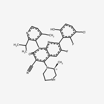 Cc1ccnc(C(C)C)c1-n1c(=O)c(C#N)c(N2CCNC[C@@H]2C)c2cc(F)c(-c3c(O)ccc(Cl)c3F)nc21